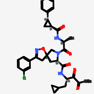 CNC(=O)C(=O)[C@H](CC1CC1)NC(=O)[C@@H]1C[C@]2(CC(c3cccc(Cl)c3)=NO2)CN1C(=O)[C@@H](NC(=O)[C@H]1C[C@@H]1c1ccccc1)C(C)(C)C